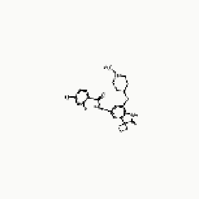 CN1CCC(Oc2cc(NC(=O)c3ccc(Cl)cc3F)cc3c2NC(=O)C32CCC2)CC1